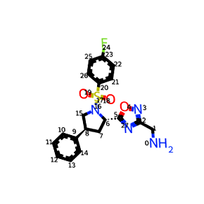 NCc1noc([C@@H]2C[C@@H](c3ccccc3)CN2S(=O)(=O)c2ccc(F)cc2)n1